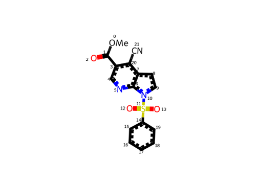 COC(=O)c1cnc2c(ccn2S(=O)(=O)c2ccccc2)c1C#N